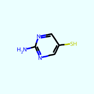 Nc1ncc(S)cn1